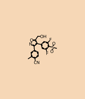 Cc1cc(-c2noc(CO)c2-c2cc(F)c(S(C)(=O)=O)c(F)c2)ccc1C#N